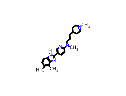 Cc1ccc2[nH]c(-c3ccc(N(C)CCCC4CCN(C)CC4)nc3)nc2c1C